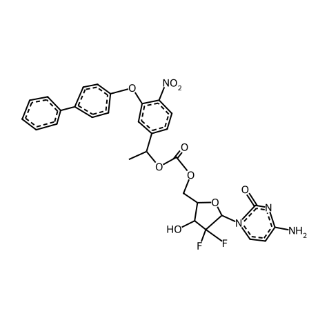 CC(OC(=O)OCC1OC(n2ccc(N)nc2=O)C(F)(F)C1O)c1ccc([N+](=O)[O-])c(Oc2ccc(-c3ccccc3)cc2)c1